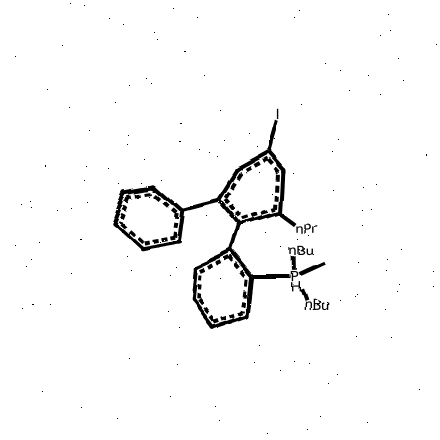 CCCC[PH](C)(CCCC)c1ccccc1-c1c(CCC)cc(I)cc1-c1ccccc1